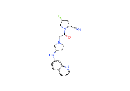 N#CC1C[C@H](F)CN1C(=O)CN1CC[C@@H](Nc2ccc3cccnc3c2)C1